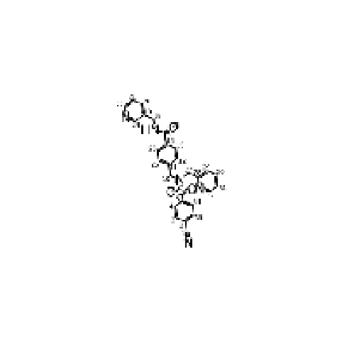 N#Cc1ccc(S(=O)(=O)N(Cc2ccc(C(=O)NCc3cccnc3)cc2)Cc2ccccn2)cc1